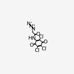 [N-]=[N+]=NCC(=O)NC1=C(Cl)C(=O)C(Cl)=C(Cl)C1=O